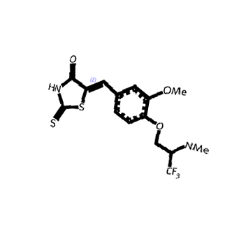 CNC(COc1ccc(/C=C2\SC(=S)NC2=O)cc1OC)C(F)(F)F